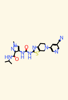 CC(C)NC(=O)c1nn(C)cc1NC(=O)Nc1nc2c(s1)CN(c1cncc(C#N)c1)CC2